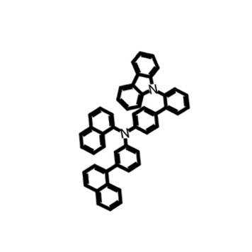 c1cc(-c2cccc3ccccc23)cc(N(c2ccc(-c3ccccc3-n3c4ccccc4c4ccccc43)cc2)c2cccc3ccccc23)c1